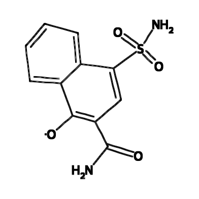 NC(=O)c1cc(S(N)(=O)=O)c2ccccc2c1[O]